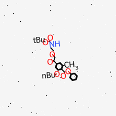 CCCCOc1cc(C(=O)COCCNC(=O)OC(C)(C)C)cc(C)c1C(=O)Oc1ccccc1